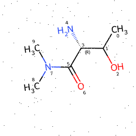 CC(O)[C@@H](N)C(=O)N(C)C